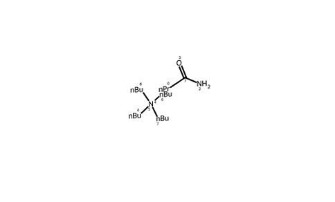 CCCC(N)=O.CCCC[N+](CCCC)(CCCC)CCCC